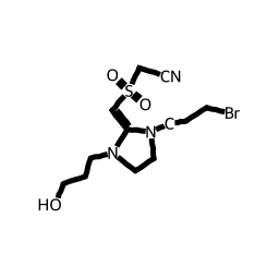 N#CCS(=O)(=O)C=C1N(CCCO)CCN1CCCBr